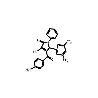 Cc1ccc(C(=O)C2=C(O)C(=O)N(c3ccccc3)C2c2cc(C(F)(F)F)cc(C(F)(F)F)c2)cc1